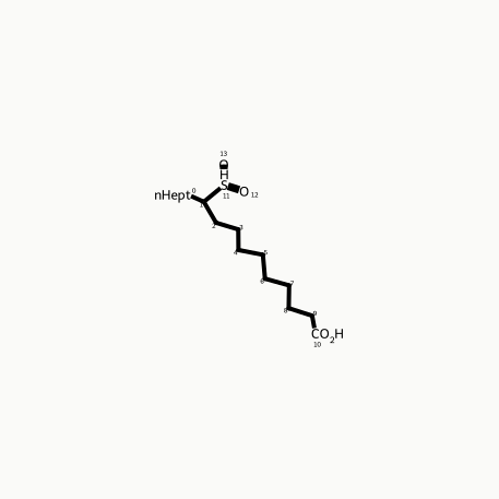 CCCCCCCC(CCCCCCCCC(=O)O)[SH](=O)=O